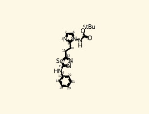 CC(C)(C)OC(=O)Nn1ccnc1CCc1nnc(Nc2ccccc2)[se]1